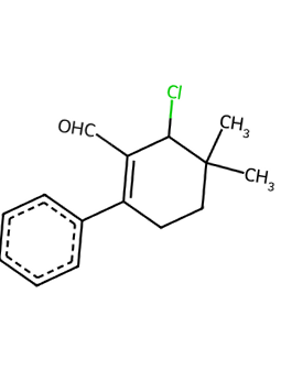 CC1(C)CCC(c2ccccc2)=C(C=O)C1Cl